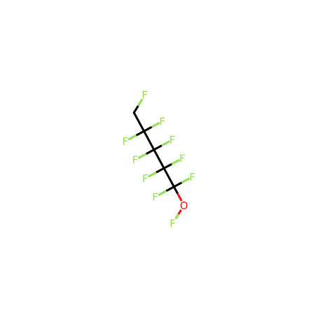 FCC(F)(F)C(F)(F)C(F)(F)C(F)(F)OF